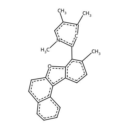 Cc1cc(-c2c(C)ccc3c2oc2ccc4ccccc4c23)[n+](C)cc1C